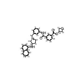 O=C(Nc1cccc(CN2CCC(Nc3cccc4cnccc34)C2)c1)c1cccc(C(=O)OC2COC2)c1